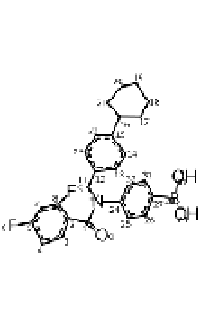 O=C(c1ccc(F)cc1F)N(Cc1ccc(C2CCCCC2)cc1)c1ccc(B(O)O)cc1